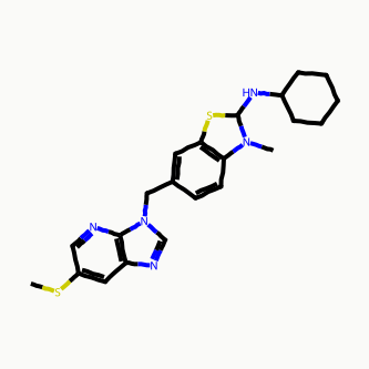 CSc1cnc2c(c1)ncn2Cc1ccc2c(c1)SC(NC1CCCCC1)N2C